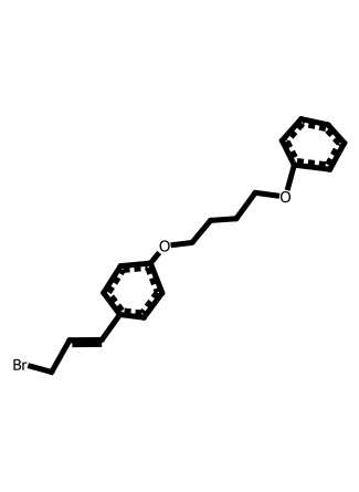 BrCC=Cc1ccc(OCCCCOc2ccccc2)cc1